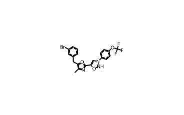 Cc1nc(C2=CN(c3ccc(OC(F)(F)F)cc3)NO2)oc1Cc1cccc(Br)c1